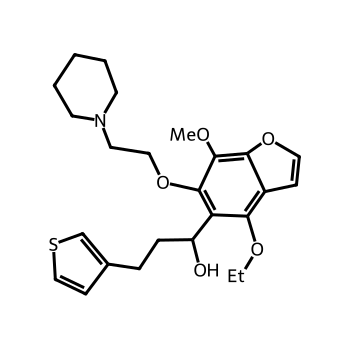 CCOc1c(C(O)CCc2ccsc2)c(OCCN2CCCCC2)c(OC)c2occc12